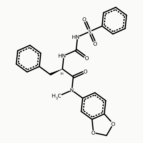 CN(C(=O)[C@@H](Cc1ccccc1)NC(=O)NS(=O)(=O)c1ccccc1)c1ccc2c(c1)OCO2